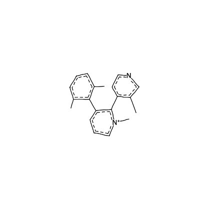 Cc1cnccc1-c1c(-c2c(C)cccc2C)ccc[n+]1C